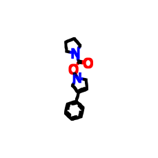 O=C(ON1CC=C(c2ccccc2)C1)N1CCCC1